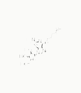 Nc1nc(OCCCCS)c2ncn([C@@H]3O[C@H](CO)[C@@H](O)[C@H]3O)c2n1